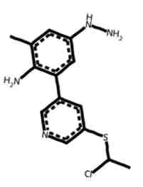 Cc1cc(NN)cc(-c2cncc(SC(C)Cl)c2)c1N